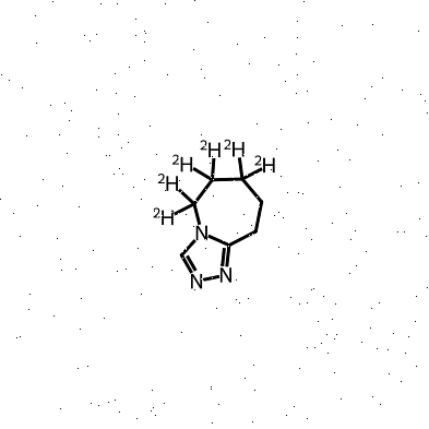 [2H]C1([2H])CCc2nncn2C([2H])([2H])C1([2H])[2H]